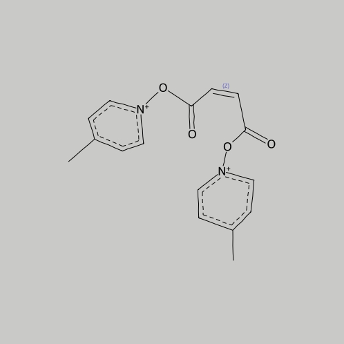 Cc1cc[n+](OC(=O)/C=C\C(=O)O[n+]2ccc(C)cc2)cc1